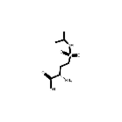 CC(C)NS(=O)(=O)CC[C@H](N)C(=O)O